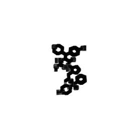 COC(=O)N[C@H](C(=O)NC1CCCC1CCC[C@H]1CNCCN1S(=O)(=O)c1ccccc1)C(c1ccc(Cl)cc1)C1CCOCC1